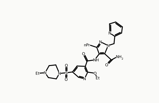 CCCc1nn(Cc2ccccn2)c(C(N)=O)c1NC(=O)c1cc(S(=O)(=O)N2CCN(CC)CC2)cnc1OCC